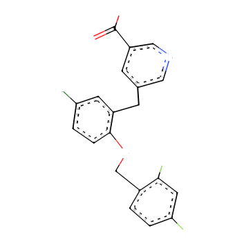 O=C(O)c1cncc(Cc2cc(Cl)ccc2OCc2ccc(F)cc2F)c1